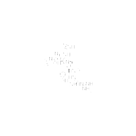 CC[C@H](C)[C@H](NC(=O)[C@H](Cc1ccc(O)cc1)NC(=O)[C@@H](NC(=O)[C@H](CCCNC(=N)N)NC(=O)CNC)C(C)C)C(=O)N[C@@H](Cc1c[nH]cn1)C(=O)N1CCC[C@H]1C(=O)N(C)[C@H](C(=O)OC)[C@@H](C)O